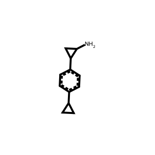 NC1CC1c1ccc(C2CC2)cc1